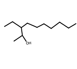 CCCCCCCC(CC)C(C)O